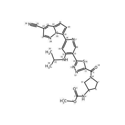 COC(=O)NC1CCN(C(=O)c2nnc(-c3cnc(-c4ccc5cc(C#N)cnn45)cc3NC(C)C)s2)C1